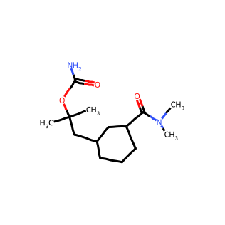 CN(C)C(=O)C1CCCC(CC(C)(C)OC(N)=O)C1